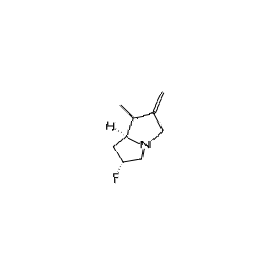 C=C1CN2C[C@H](F)C[C@H]2C1C